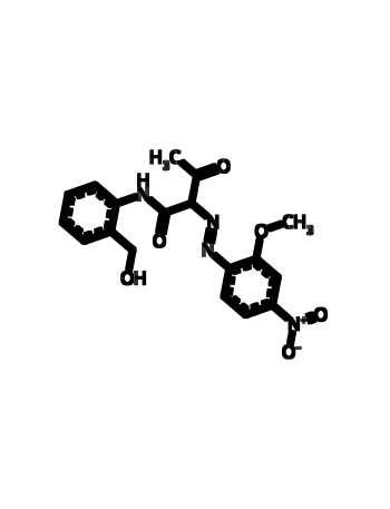 COc1cc([N+](=O)[O-])ccc1/N=N/C(C(C)=O)C(=O)Nc1ccccc1CO